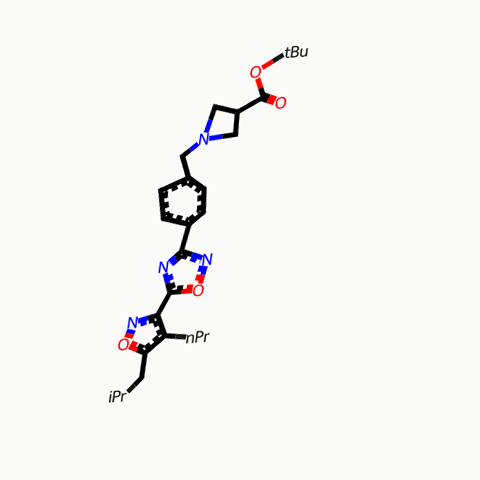 CCCc1c(-c2nc(-c3ccc(CN4CC(C(=O)OC(C)(C)C)C4)cc3)no2)noc1CC(C)C